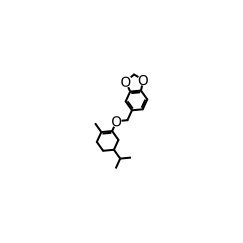 CC1=C(OCc2ccc3c(c2)OCO3)CC(C(C)C)CC1